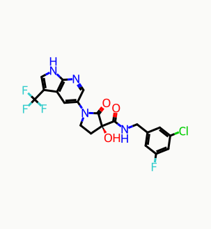 O=C(NCc1cc(F)cc(Cl)c1)[C@]1(O)CCN(c2cnc3[nH]cc(C(F)(F)F)c3c2)C1=O